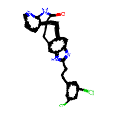 O=C1Nc2ncccc2C12Cc1cc3nc(CCc4cc(Cl)cc(Cl)c4)[nH]c3cc1C2